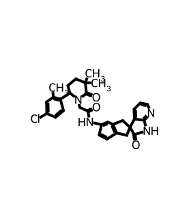 Cc1cc(Cl)ccc1C1CCC(C)(C)C(=O)N1CC(=O)Nc1ccc2c(c1)CC1(C2)C(=O)Nc2ncccc21